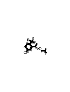 C/C(=N\OCC(C)C)c1cc(Cl)ccc1C(F)(F)F